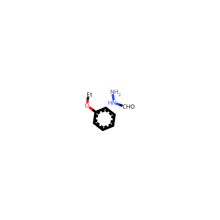 CCOc1ccccc1.NNC=O